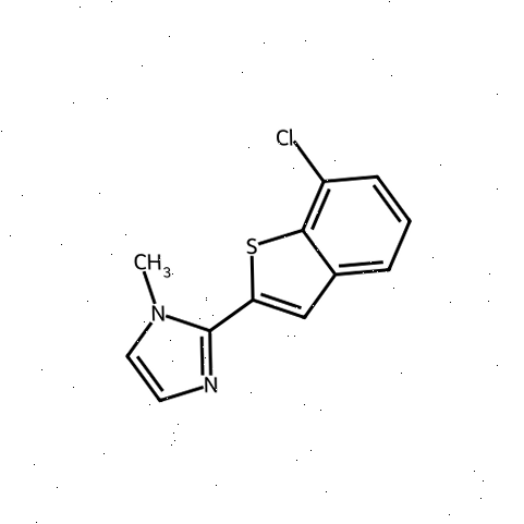 Cn1ccnc1-c1cc2cccc(Cl)c2s1